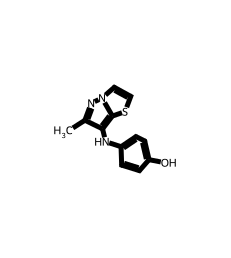 Cc1nn2ccsc2c1Nc1ccc(O)cc1